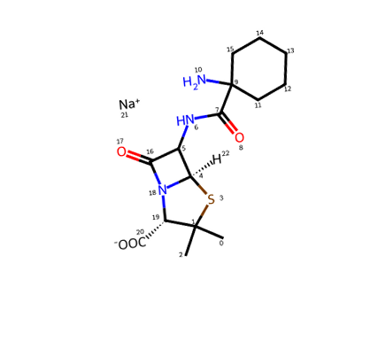 CC1(C)S[C@@H]2C(NC(=O)C3(N)CCCCC3)C(=O)N2[C@H]1C(=O)[O-].[Na+]